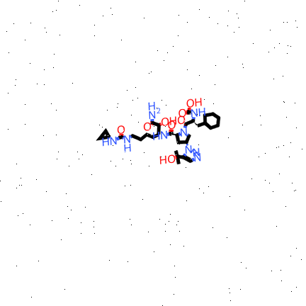 CC(C)(O)c1cnnn1[C@H]1C[C@@H](C(=O)NC(CCCCNC(=O)NC2CC2)C(O)C(N)=O)N(C(=O)[C@@H](CC2CCCCC2)NC(=O)O)C1